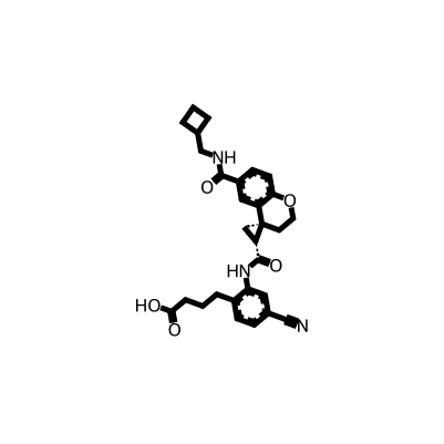 N#Cc1ccc(CCCC(=O)O)c(NC(=O)[C@@H]2C[C@]23CCOc2ccc(C(=O)NCC4CCC4)cc23)c1